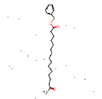 CC(=O)CCCCCCCCCCCCCC(=O)OCc1ccccc1